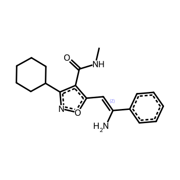 CNC(=O)c1c(C2CCCCC2)noc1/C=C(\N)c1ccccc1